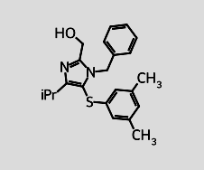 Cc1cc(C)cc(Sc2c(C(C)C)nc(CO)n2Cc2ccccc2)c1